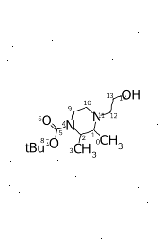 CC1C(C)N(C(=O)OC(C)(C)C)CCN1CCO